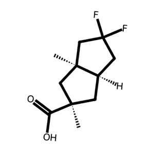 C[C@@]1(C(=O)O)C[C@@H]2CC(F)(F)C[C@]2(C)C1